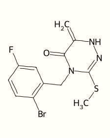 C=C1NN=C(SC)N(Cc2cc(F)ccc2Br)C1=O